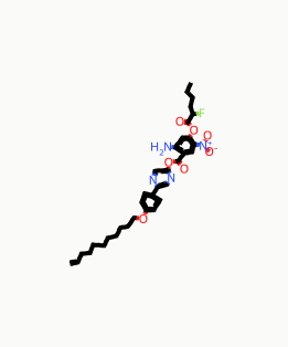 C=CCCCCCCCCCOc1ccc(-c2cnc(OC(=O)c3cc([N+](=O)[O-])c(OC(=O)C(F)CCCC)cc3N)cn2)cc1